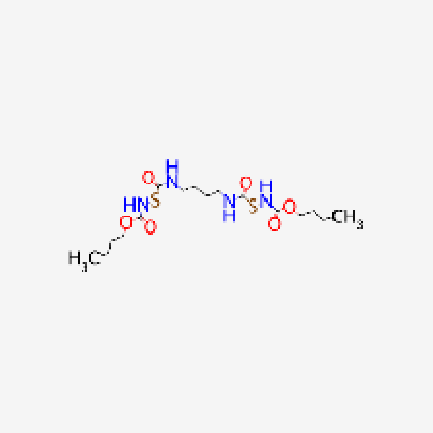 CCCCOC(=O)NSC(=O)NCCCCNC(=O)SNC(=O)OCCCC